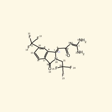 NC(N)=NC(=O)/C=C1/c2cc(C(F)(F)F)ccc2C(=O)N1CC(F)(F)F